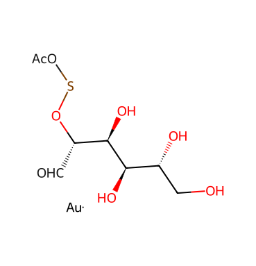 CC(=O)OSO[C@@H](C=O)[C@@H](O)[C@H](O)[C@H](O)CO.[Au]